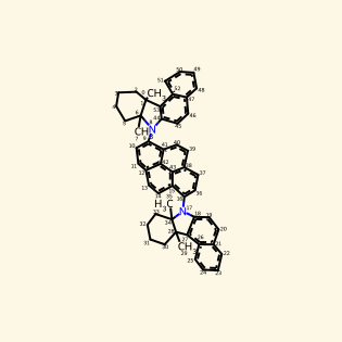 CC12CCCCC1(C)N(c1ccc3ccc4c(N5c6ccc7ccccc7c6C6(C)CCCCC56C)ccc5ccc1c3c54)c1ccc3ccccc3c12